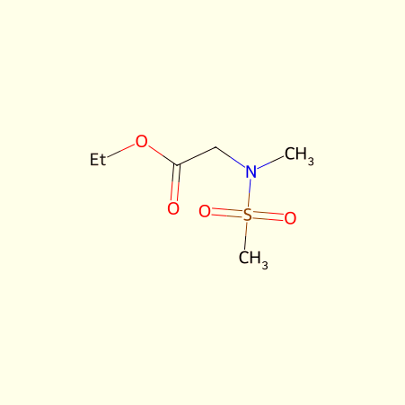 CCOC(=O)CN(C)S(C)(=O)=O